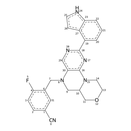 N#Cc1ccc(F)c(CN2CC3COCCN3c3nc(-c4cccc5[nH]ccc45)ncc32)c1